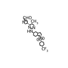 Cc1cnc(Nc2ccc3c(ccn3S(=O)(=O)c3ccc(C(F)(F)F)cc3)c2)nc1-c1cnn(C=O)c1